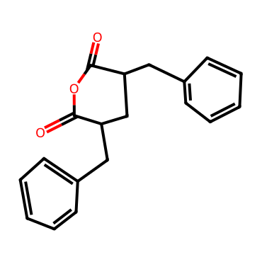 O=C1OC(=O)C(Cc2ccccc2)CC1Cc1ccccc1